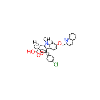 Cn1c(CC(C)(C)C(=O)O)c(C(=O)c2ccc(Cl)cc2)c2ccc(OCc3ccc4ccccc4n3)cc21